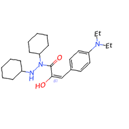 CCN(CC)c1ccc(/C=C(/O)C(=O)N(NC2CCCCC2)C2CCCCC2)cc1